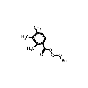 Cc1ccc(C(=O)OOOC(C)(C)C)c(C)c1C